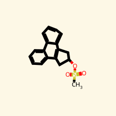 CS(=O)(=O)OC1Cc2c(c3ccccc3c3ccccc23)C1